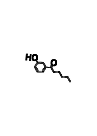 CCCCCC(=O)c1cccc(O)c1